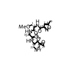 COC[C@H](NC(=O)c1cc(C)on1)C(=O)N[C@@H](C)C(=O)N[C@@H](CC(C)C)C(=O)[C@@]1(C)CO1